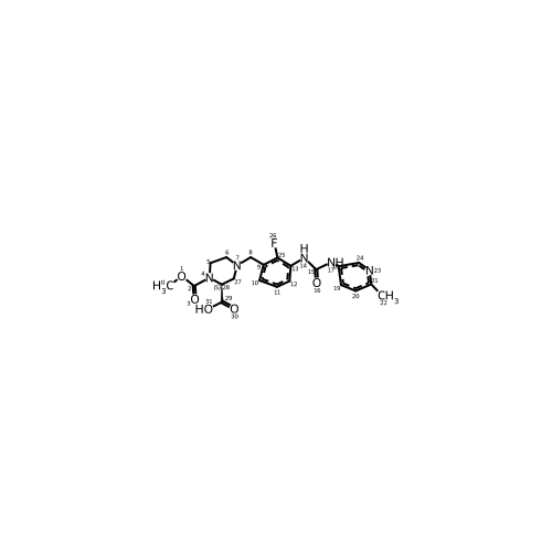 COC(=O)N1CCN(Cc2cccc(NC(=O)Nc3ccc(C)nc3)c2F)C[C@H]1C(=O)O